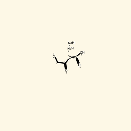 O=C(CCl)OS(=O)O.[NaH].[NaH]